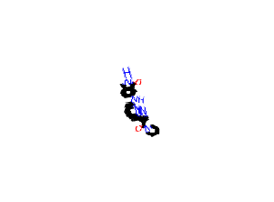 O=C1NCc2ccc(Nc3cccc4c(C(=O)N5CCCCC5)cnn34)cc21